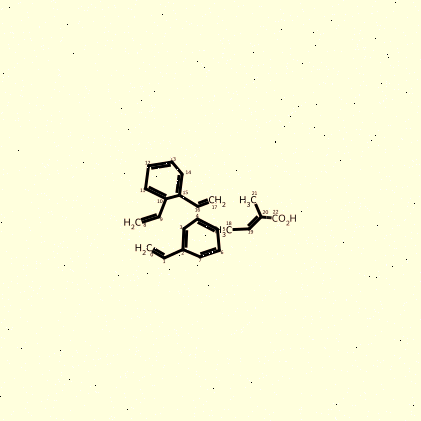 C=Cc1ccccc1.C=Cc1ccccc1C=C.CC=C(C)C(=O)O